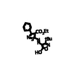 CCOC(=O)c1c(-c2ccccc2)nsc1N=Nc1c(C(C)(C)C)noc1O